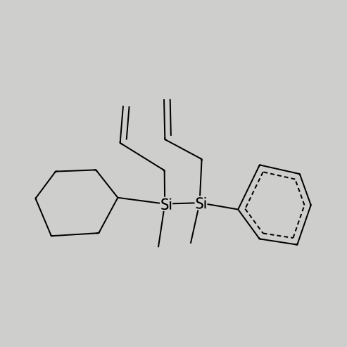 C=CC[Si](C)(c1ccccc1)[Si](C)(CC=C)C1CCCCC1